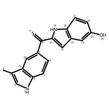 Cc1c[nH]c2ccc(C(=S)c3cc4cc(O)ccc4[nH]3)cc12